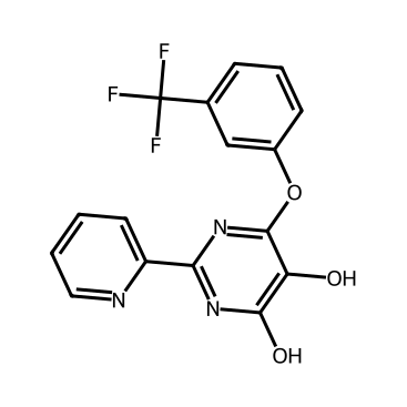 Oc1nc(-c2ccccn2)nc(Oc2cccc(C(F)(F)F)c2)c1O